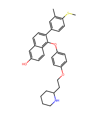 CSc1ccc(-c2ccc3cc(O)ccc3c2Oc2ccc(OCCC3CCCCN3)cc2)cc1C